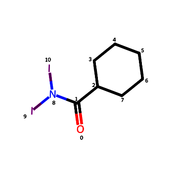 O=C(C1CCCCC1)N(I)I